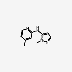 Cc1ccnc(Nc2ccnn2C)c1